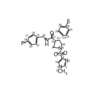 Cn1cnc(S(=O)(=O)N2C[C@@H](C(=O)NCc3ccc(F)cc3)[C@H](c3ccc(F)cc3)C2)c1